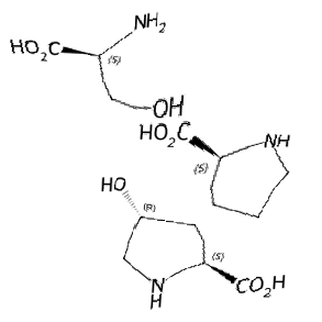 N[C@@H](CO)C(=O)O.O=C(O)[C@@H]1CCCN1.O=C(O)[C@@H]1C[C@@H](O)CN1